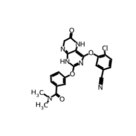 CN(C)C(=O)c1cccc(OC2=NC(Oc3cc(C#N)ccc3Cl)=C3NC(=O)CN=C3N2)c1